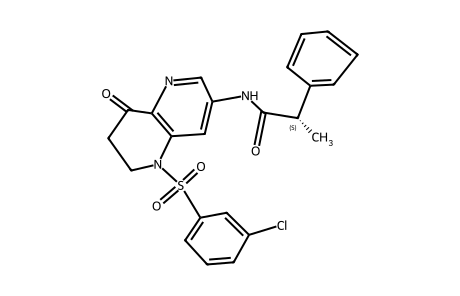 C[C@H](C(=O)Nc1cnc2c(c1)N(S(=O)(=O)c1cccc(Cl)c1)CCC2=O)c1ccccc1